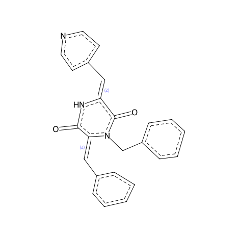 O=c1[nH]/c(=C\c2ccncc2)c(=O)n(Cc2ccccc2)/c1=C\c1ccccc1